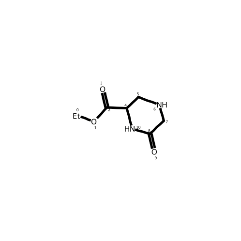 CCOC(=O)C1CNCC(=O)N1